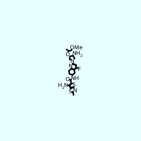 COCC(C)OC1CN(c2cc(F)c3c(n2)CCC(NC(=O)c2sc4nc(C)sc4c2N)C3)CC1N